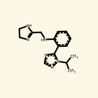 CC(C)n1ncnc1-c1ccccc1NCC1=NCCN1